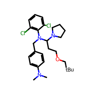 CN(C)c1ccc(CN(c2c(Cl)cccc2Cl)C(CCOCC(C)(C)C)N2CCCC2)cc1